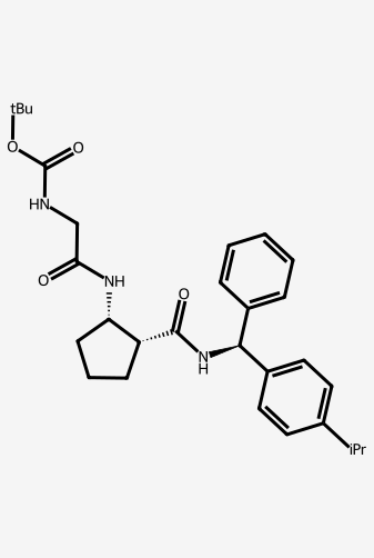 CC(C)c1ccc([C@@H](NC(=O)[C@@H]2CCC[C@@H]2NC(=O)CNC(=O)OC(C)(C)C)c2ccccc2)cc1